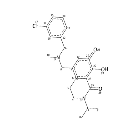 CC(C)N1CCn2c(CN(C)Cc3cccc(Cl)c3)cc(=O)c(O)c2C1=O